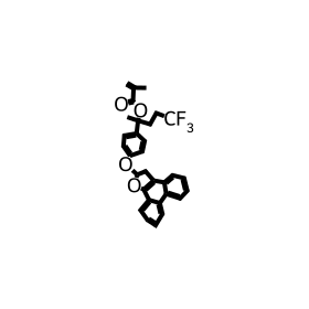 C=C(C)C(=O)OC(C)(CCC(F)(F)F)c1ccc(OC2Cc3c(c4ccccc4c4ccccc34)O2)cc1